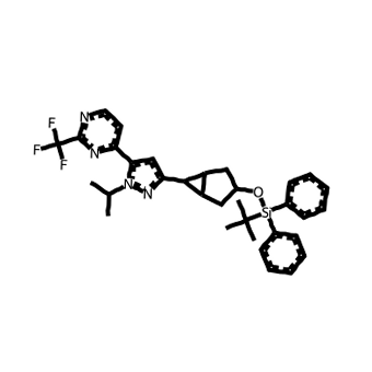 CC(C)n1nc(C2C3CC(O[Si](c4ccccc4)(c4ccccc4)C(C)(C)C)CC32)cc1-c1ccnc(C(F)(F)F)n1